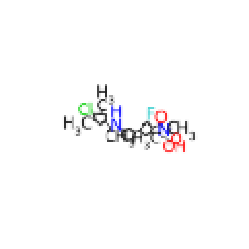 Cc1cc(C(C)Nc2cccc(-c3ccc(C(=O)N(C)C(C)C(=O)O)c(F)c3)c2)cc(C)c1Cl